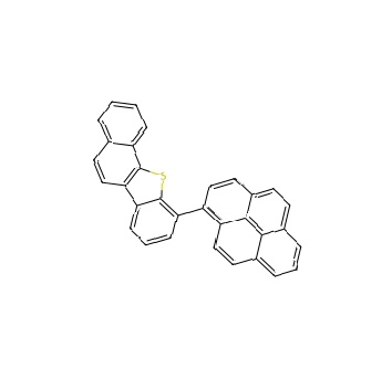 c1ccc2c(c1)ccc1c3cccc(-c4ccc5ccc6cccc7ccc4c5c67)c3sc21